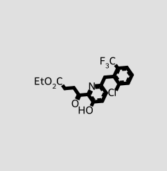 CCOC(=O)CCC(=O)c1nc(Cc2c(Cl)cccc2C(F)(F)F)ccc1O